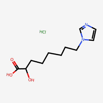 Cl.O=C(O)C(O)CCCCCCn1ccnc1